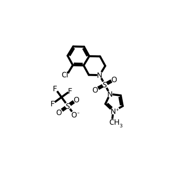 C[n+]1ccn(S(=O)(=O)N2CCc3cccc(Cl)c3C2)c1.O=S(=O)([O-])C(F)(F)F